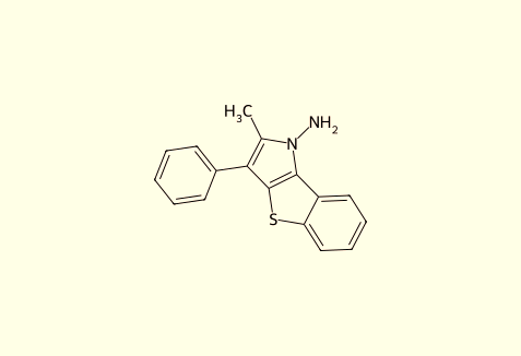 Cc1c(-c2ccccc2)c2sc3ccccc3c2n1N